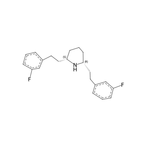 Fc1cccc(CC[C@H]2CCC[C@@H](CCc3cccc(F)c3)N2)c1